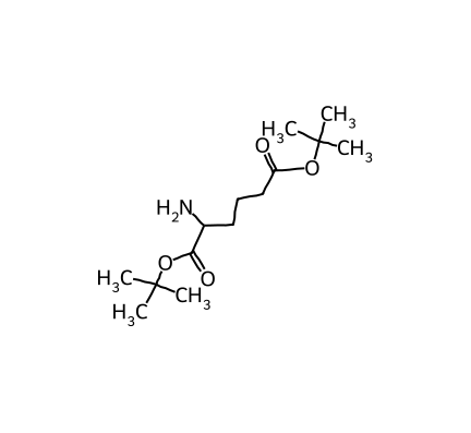 CC(C)(C)OC(=O)CCCC(N)C(=O)OC(C)(C)C